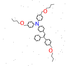 CCCCOCc1ccc(C(=Cc2ccc(N(c3ccc(COCCCC)cc3)c3ccc(COCCCC)cc3)cc2)c2ccccc2)cc1